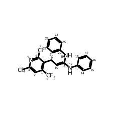 FC(F)(F)c1cc(Cl)nc(Cl)c1CC=C(Nc1ccccc1)Nc1ccccc1